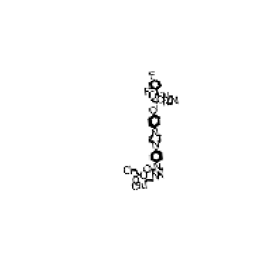 CC(C)(C)C(Cn1ncn(-c2ccc(N3CCN(c4ccc(OC[C@@H]5CO[C@@](Cn6cncn6)(c6ccc(F)cc6F)O5)cc4)CC3)cc2)c1=O)OC(=O)CCl